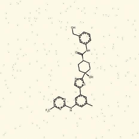 Cc1cc(Nc2nccc(C(F)(F)F)n2)cc(-c2cnc([C@]3(O)CC[C@@H](C(=O)Nc4cccc(CO)c4)CC3)s2)c1